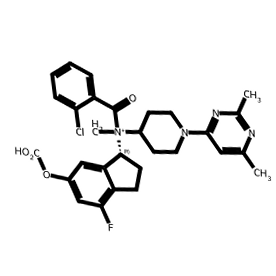 Cc1cc(N2CCC([N+](C)(C(=O)c3ccccc3Cl)[C@@H]3CCc4c(F)cc(OC(=O)O)cc43)CC2)nc(C)n1